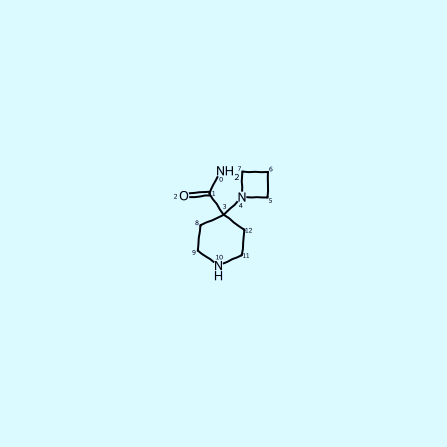 NC(=O)C1(N2CCC2)CCNCC1